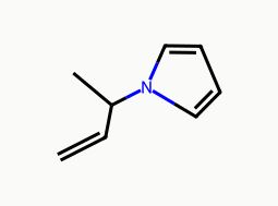 C=CC(C)n1cccc1